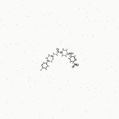 Cc1ccc(N2CCN(CCC(=O)N3CCC(Nc4ccc([N+](=O)[O-])nc4)CC3)CC2)cc1